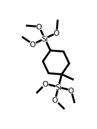 CO[Si](OC)(OC)C1CCC(C)([Si](OC)(OC)OC)CC1